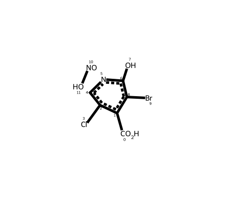 O=C(O)c1c(Cl)cnc(O)c1Br.O=NO